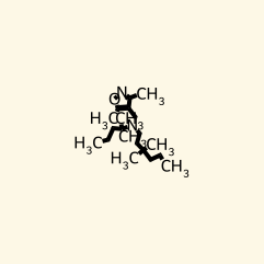 CCCC(C)(C)CCN(Cc1c(C)noc1C)C(C)(C)CCC